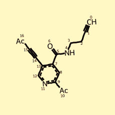 C#CCCNC(=O)c1cc(C(C)=O)ncc1C#CC(C)=O